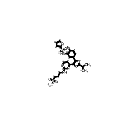 CC(C)c1nc(-c2ccc(F)c(NS(=O)(=O)c3ccco3)c2)c(-c2ccnc(NCCCS(C)(=O)=O)n2)s1